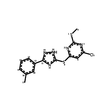 CSc1nc(Cl)cc(Sc2nc(-c3cccc(C)c3)n[nH]2)n1